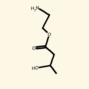 CC(O)CC(=O)OCCN